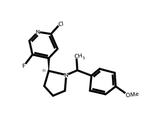 COc1ccc(C(C)N2CCC[C@H]2c2cc(Cl)ncc2F)cc1